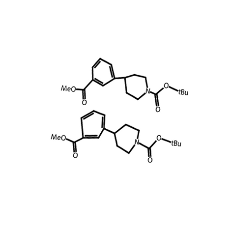 COC(=O)c1cccc(C2CCN(C(=O)OC(C)(C)C)CC2)c1.COC(=O)c1cccc(C2CCN(C(=O)OC(C)(C)C)CC2)c1